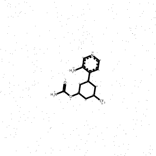 NC(=O)OC1CC(c2ccncc2N)CC(C(F)(F)F)C1